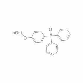 CCCCCCCCOc1ccc(P(=O)(c2ccccc2)c2ccccc2)cc1